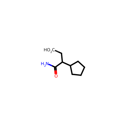 NC(=O)C(CC(=O)O)C1CCCC1